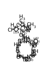 Cc1sc2c(c1C)C(c1ccc(Cl)cc1)=N[C@@H](CC(=O)NC[C@H]1NC(=O)[C@@H](Cc3ccccc3)NC(=O)CNC(=O)[C@@H]3CCCN3C(=O)[C@H](C(C)(C)C)NC(=O)COCCNC1=O)c1nnc(C)n1-2